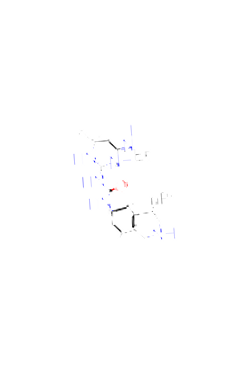 CCCC1CNCc2ccc(NC(=O)NC3NC(NCC)=CC(C)N3)cc21